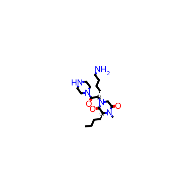 CCCC[C@H]1C(=O)N([C@@H](CCCCN)C(=O)N2CCNCC2)CC(=O)N1C